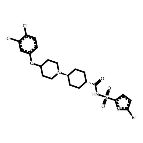 O=C(NS(=O)(=O)c1ccc(Br)s1)[C@H]1CC[C@H](N2CCC(Oc3ccc(Cl)c(Cl)c3)CC2)CC1